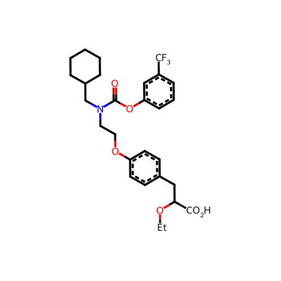 CCOC(Cc1ccc(OCCN(CC2CCCCC2)C(=O)Oc2cccc(C(F)(F)F)c2)cc1)C(=O)O